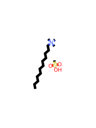 CCCCCCCCCCCC[N+](C)(C)C.CS(=O)(=O)O